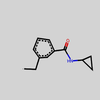 [CH2]Cc1cccc(C(=O)NC2CC2)c1